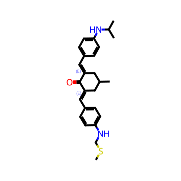 CSCNc1ccc(/C=C2\CC(C)C/C(=C\c3ccc(NC(C)C)cc3)C2=O)cc1